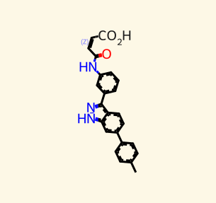 Cc1ccc(-c2ccc3c(-c4cccc(NC(=O)/C=C\C(=O)O)c4)n[nH]c3c2)cc1